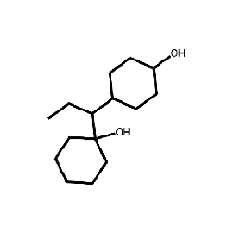 CCC(C1CCC(O)CC1)C1(O)CCCCC1